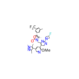 COc1ncc(-c2c(C)nn(C)c2C)cc1-c1cnc(N2CC(F)C2)nc1CN1C(=O)O[C@H](c2cc(C)cc(C(F)(F)F)c2)[C@@H]1C